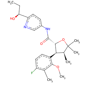 CC[C@H](O)c1ccc(NC(=O)[C@@H]2OC(C)(C)[C@@H](C)[C@H]2c2ccc(F)c(C)c2OC)cn1